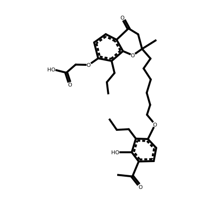 CCCc1c(OCCCCCCC2(C)CC(=O)c3ccc(OCC(=O)O)c(CCC)c3O2)ccc(C(C)=O)c1O